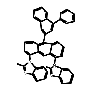 Cc1nc2ccccc2n1-c1cccc2c(-c3cc(-c4ccccc4)c4ccccc4c3)c3cccc(-n4c(C)nc5ccccc54)c3cc12